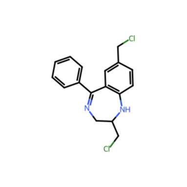 ClCc1ccc2c(c1)C(c1ccccc1)=NCC(CCl)N2